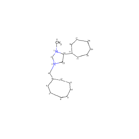 CN1CN(CC2CCCCCCC2)CC1C1CCCCCC1